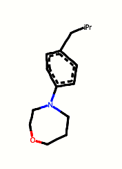 CC(C)Cc1ccc(N2CCCOCC2)cc1